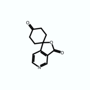 O=C1CCC2(CC1)OC(=O)c1cnccc12